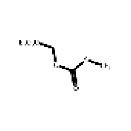 CCOC(=O)COC(=O)SC(F)(F)F